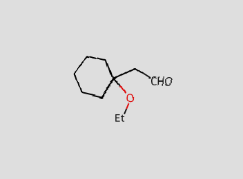 CCOC1(CC=O)CCCCC1